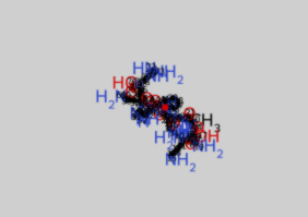 C[C@H](NC(=O)[C@@H](NC(=O)[C@@H](N)CCCCN)[C@@H](O)CN)C(=O)NCC(=O)N[C@H](CCCN)C(=O)N1C2CCCCC2C[C@H]1C(=O)N[C@@H](Cc1cnc[nH]1)C(=O)N[C@@H](CCCCN)C(=O)CC/C(=C\CCNC(=N)N)C(=O)O